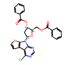 O=C(OC[C@H]1O[C@@H](n2c3ncnc(Cl)c3c3ccsc32)C[C@@H]1OC(=O)c1ccccc1)c1ccccc1